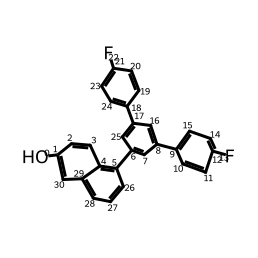 Oc1ccc2c(-c3cc(-c4ccc(F)cc4)cc(-c4ccc(F)cc4)c3)cccc2c1